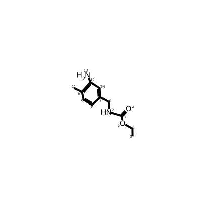 CCOC(=O)NCc1ccc(C)c(N)c1